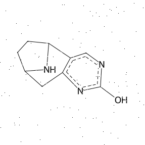 Oc1ncc2c(n1)CC1CCC2N1